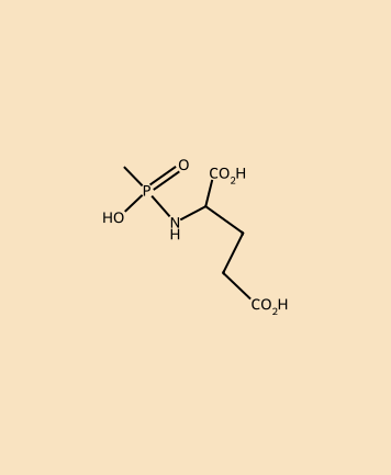 CP(=O)(O)NC(CCC(=O)O)C(=O)O